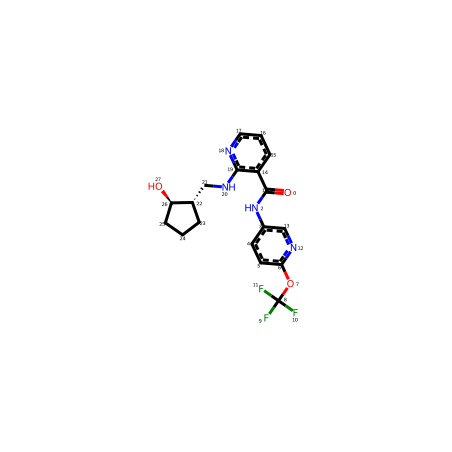 O=C(Nc1ccc(OC(F)(F)F)nc1)c1cccnc1NC[C@@H]1CCC[C@H]1O